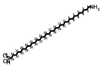 NCCCCCCCCCCCCCCCCCCCCCCCCCCCCCCCCCC[SiH](Cl)Cl